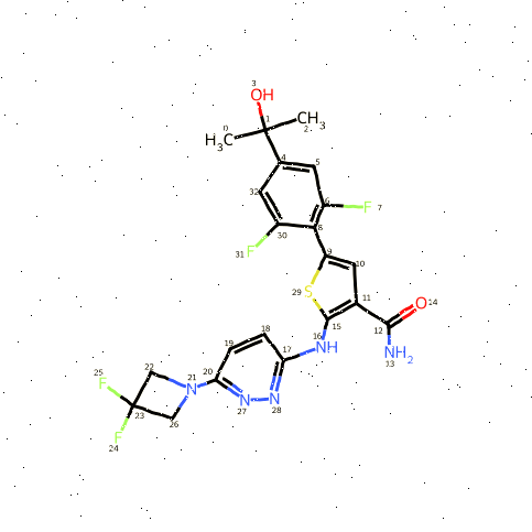 CC(C)(O)c1cc(F)c(-c2cc(C(N)=O)c(Nc3ccc(N4CC(F)(F)C4)nn3)s2)c(F)c1